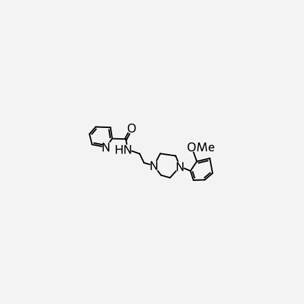 COc1ccccc1N1CCN(CCNC(=O)c2ccccn2)CC1